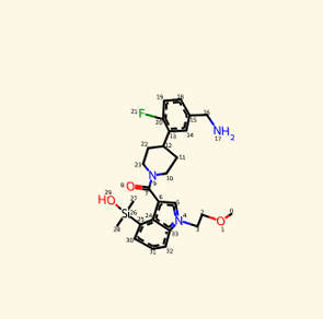 COCCn1cc(C(=O)N2CCC(c3cc(CN)ccc3F)CC2)c2c([Si](C)(C)O)cccc21